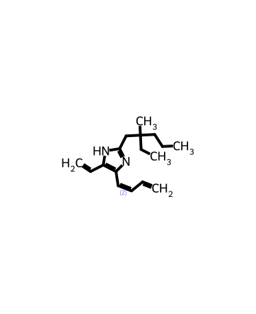 C=C/C=C\c1nc(CC(C)(CC)CCC)[nH]c1C=C